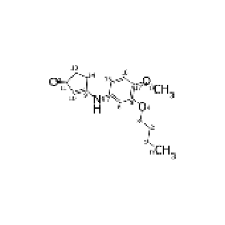 CCCCOc1cc(NC2=CC(=O)CC2)ccc1OC